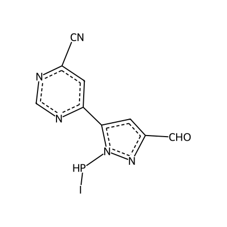 N#Cc1cc(-c2cc(C=O)nn2PI)ncn1